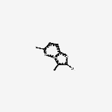 Cc1c(C(F)(F)F)nc2ccc(I)nn12